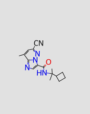 Cc1cc(C#N)nn2c(C(=O)NC(C)(C)C3CCC3)cnc12